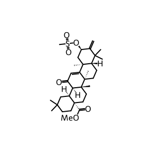 C=C1[C@H](OS(C)(=O)=O)C[C@]2(C)C3=CC(=O)[C@@H]4[C@@H]5CC(C)(C)CC[C@]5(C(=O)OC)CC[C@@]4(C)[C@]3(C)CC[C@H]2C1(C)C